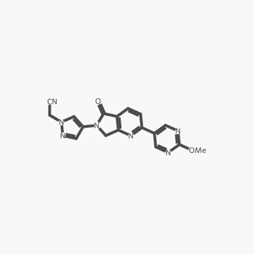 COc1ncc(-c2ccc3c(n2)CN(c2cnn(CC#N)c2)C3=O)cn1